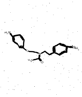 NC(=O)N(CCc1ccc(N)cc1)CCc1ccc(N)cc1